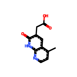 Cc1ccnc2[nH]c(=O)c(CC(=O)O)cc12